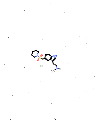 CN(C)CCc1c[nH]c2ccc(CS(=O)(=O)N3CCCCC3)cc12.Cl